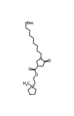 CCCCCCCCCCCCCCCCCCN1CC(C(=O)OCC[N+]2(C)CCCC2)CC1=O